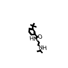 CC(C)NCCNC(=O)c1cccc(C(C)(C)C)c1